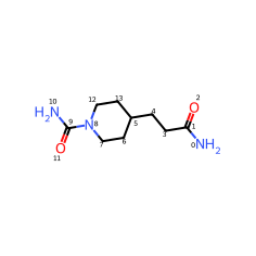 NC(=O)CCC1CCN(C(N)=O)CC1